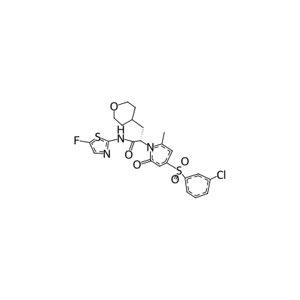 Cc1cc(S(=O)(=O)c2cccc(Cl)c2)cc(=O)n1[C@@H](CC1CCOCC1)C(=O)Nc1ncc(F)s1